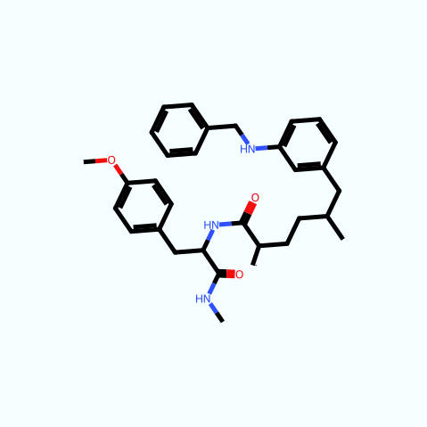 [CH2]C(CCC(C)Cc1cccc(NCc2ccccc2)c1)C(=O)NC(Cc1ccc(OC)cc1)C(=O)NC